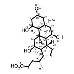 C[C@H](CCC(=O)O)[C@H]1CC[C@H]2[C@@H]3[C@H](O)C[C@@H]4C[C@H](O)CC(O)[C@]4(C)[C@H]3C[C@H](O)[C@]12C